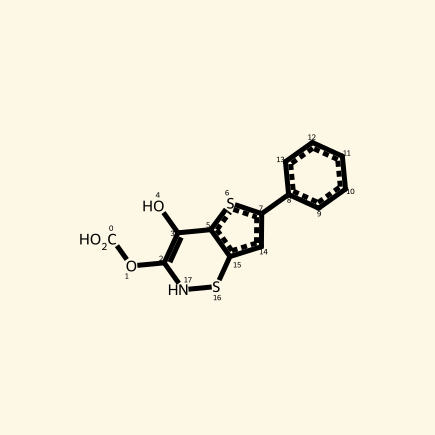 O=C(O)OC1=C(O)c2sc(-c3ccccc3)cc2SN1